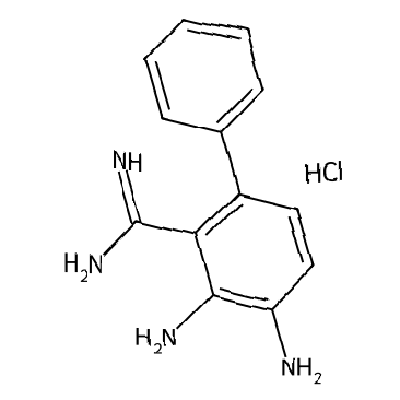 Cl.N=C(N)c1c(-c2ccccc2)ccc(N)c1N